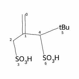 C=C(CS(=O)(=O)O)C(C(C)(C)C)S(=O)(=O)O